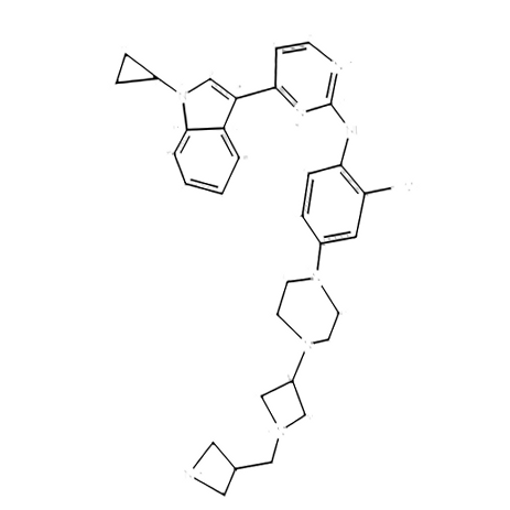 COc1cc(N2CCN(C3CN(CC4CNC4)C3)CC2)ccc1Nc1nccc(-c2cn(C3CC3)c3ccccc23)n1